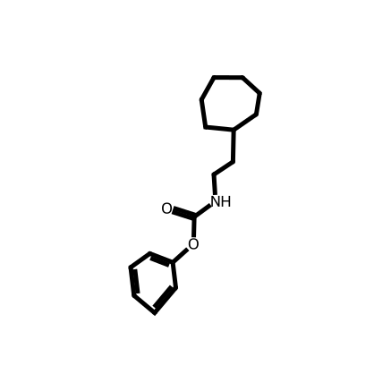 O=C(NCCC1CCCCCC1)Oc1ccccc1